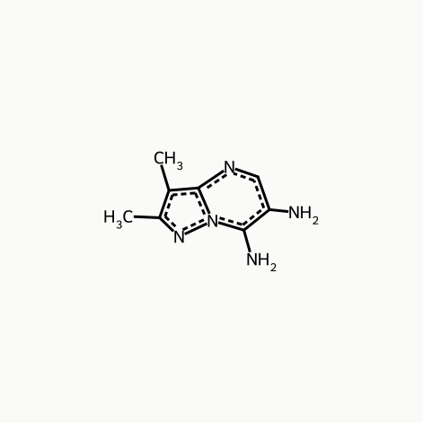 Cc1nn2c(N)c(N)cnc2c1C